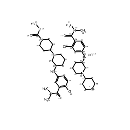 CN(C)C(=O)c1cc(N[C@@H]2CCCN(C3CCN(C(=O)OC(C)(C)C)CC3)C2)ccc1Cl.CN(C)C(=O)c1ccc(N[C@@H]2CCCN(C3CCNCC3)C2)cc1Cl.Cl